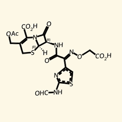 CC(=O)OCC1=C(C(=O)O)N2C(=O)[C@@H](NC(=O)C(=NOCC(=O)O)c3csc(NC=O)n3)[C@H]2SC1